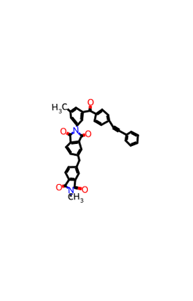 Cc1cc(C(=O)c2ccc(C#Cc3ccccc3)cc2)cc(N2C(=O)c3ccc(Cc4ccc5c(c4)C(=O)N(C)C5=O)cc3C2=O)c1